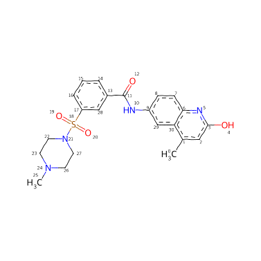 Cc1cc(O)nc2ccc(NC(=O)c3cccc(S(=O)(=O)N4CCN(C)CC4)c3)cc12